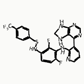 Fc1ccc(NSc2ccc(C(F)(F)F)cc2)c(F)c1Nc1ncccc1-c1ncnc2c1NCN2